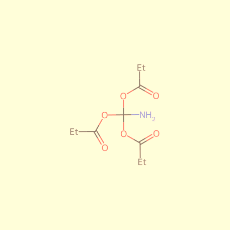 CCC(=O)OC(N)(OC(=O)CC)OC(=O)CC